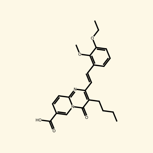 CCCCc1c(C=Cc2cccc(OCC)c2OC)nc2ccc(C(=O)O)cn2c1=O